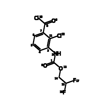 O=C(Nc1cccc(C(=O)Cl)c1Cl)OCC(F)F